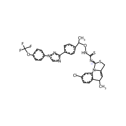 CC1C=C2CS/C(=N\C(=S)NOC(C)c3ccc(-c4ncn(-c5ccc(OC(F)(F)F)cc5)n4)cc3)N2c2cc(Cl)ccc21